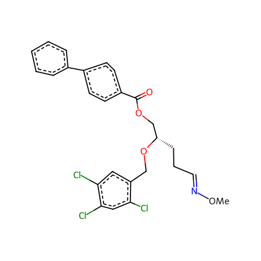 CON=CCC[C@@H](COC(=O)c1ccc(-c2ccccc2)cc1)OCc1cc(Cl)c(Cl)cc1Cl